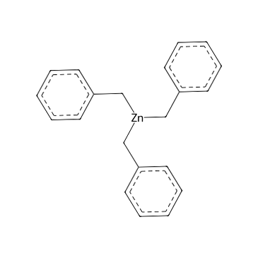 c1ccc([CH2][Zn]([CH2]c2ccccc2)[CH2]c2ccccc2)cc1